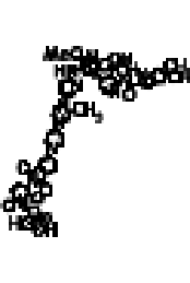 COc1ncc(-c2ccnc(N3CCn4c(cc5c4CC(C)(C)C5)C3=O)c2C(C)(C)O)cc1Nc1ccc(N2CCN(C3CCN(c4ccc5c(c4)C(=O)N([C@H]4CCC(=O)N(COP(=O)(O)O)C4=O)C5=O)CC3)C[C@@H]2C)cn1